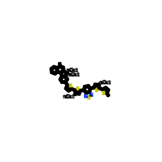 CCCCCCCCc1cc(-c2ccc(-c3cc(CCCCCCCC)c(-c4ccc(-c5ccc6c(c5)C(CCCCCCCC)(CCCCCCCC)c5cc(C)c7ccccc7c5-6)s4)s3)c3nsnc23)sc1-c1ccc(C)s1